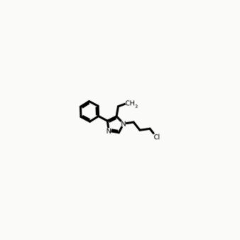 CCc1c(-c2ccccc2)ncn1CCCCl